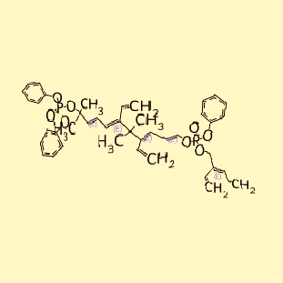 C=C/C=C(\C=C)COP(=O)(O/C=C/C=C(\C=C)C(C)(C)/C(C=C)=C/C=C/C(C)(C)OP(=O)(Oc1ccccc1)Oc1ccccc1)Oc1ccccc1